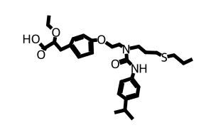 CCCSCCCN(CCOc1ccc(CC(OCC)C(=O)O)cc1)C(=O)Nc1ccc(C(C)C)cc1